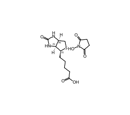 O=C(O)CCCC[C@@H]1SC[C@@H]2NC(=O)N[C@@H]21.O=C1CCC(=O)N1O